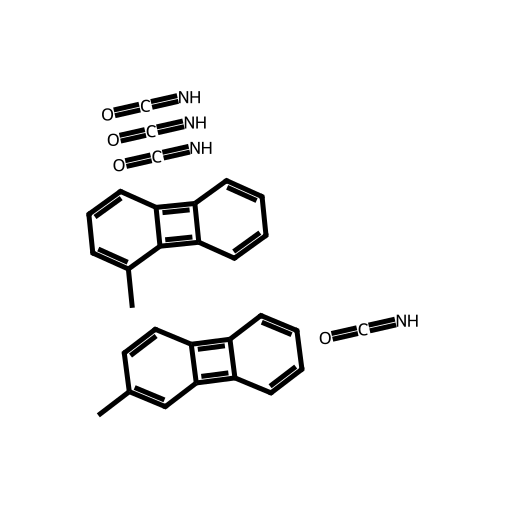 Cc1ccc2c(c1)=c1ccccc1=2.Cc1cccc2c1=c1ccccc1=2.N=C=O.N=C=O.N=C=O.N=C=O